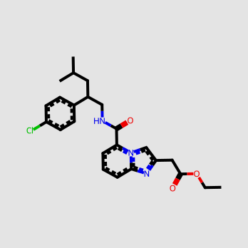 CCOC(=O)Cc1cn2c(C(=O)NCC(CC(C)C)c3ccc(Cl)cc3)cccc2n1